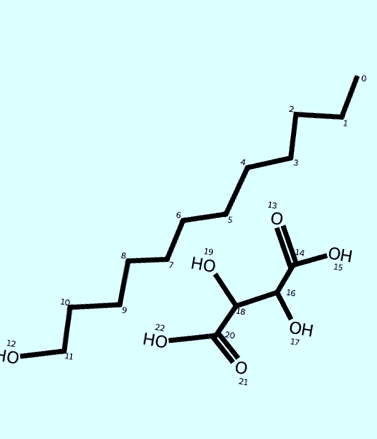 CCCCCCCCCCCCO.O=C(O)C(O)C(O)C(=O)O